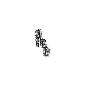 C[N+](C)(Cc1ccc(NC(=O)C2=Cc3cc(C(F)(F)F)ccc3OC2)cc1)C1CCCCC1.[I-]